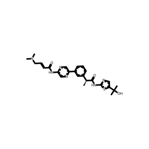 C[C@H](C(=O)Nc1ncc(C(C)(C)O)s1)c1cccc(-c2cnc(NC(=O)/C=C/CN(C)C)cn2)c1